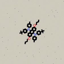 CCCCOc1ccc2c(N(c3ccc(C)cc3)c3ccc(C(C)(C)C)cc3)c3cc(OCCCC)ccc3c(N(c3ccc(C)cc3)c3ccc(C(C)(C)C)cc3)c2c1